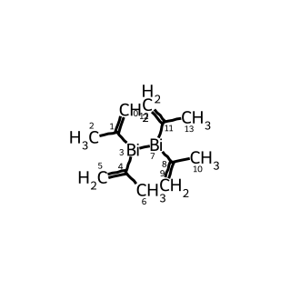 C=[C](C)[Bi]([C](=C)C)[Bi]([C](=C)C)[C](=C)C